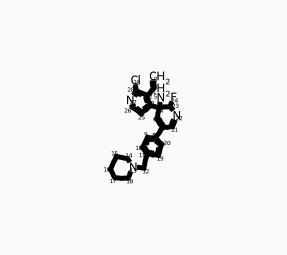 C=Cc1c(C2(N)C=C(c3ccc(CN4CCCCC4)cc3)C=NC2F)ccnc1Cl